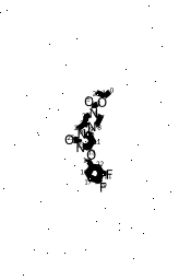 CC(C)OC(=O)N1CCN2c3cc(OCc4ccc(F)c(F)c4)nc(=O)n3CC2C1